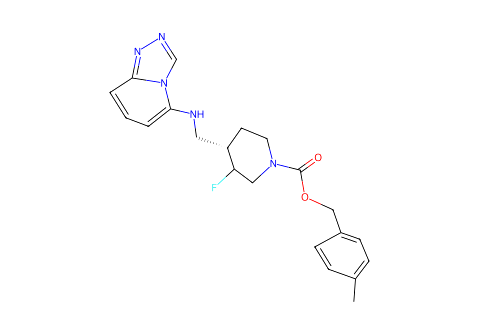 Cc1ccc(COC(=O)N2CC[C@@H](CNc3cccc4nncn34)C(F)C2)cc1